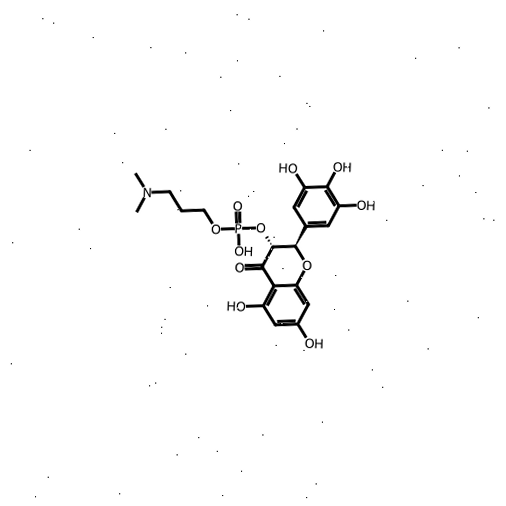 CN(C)CCCOP(=O)(O)O[C@H]1C(=O)c2c(O)cc(O)cc2O[C@@H]1c1cc(O)c(O)c(O)c1